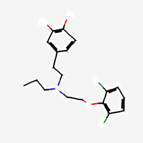 CCCN(CCOc1c(Cl)cccc1Cl)CCc1ccc(O)c(O)c1